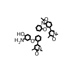 Cc1cc(-c2ccccc2Oc2ccc(O)c(N)c2)cn(C)c1=O.Cc1nc2c(Oc3ccccc3)c(-c3cc(C)c(=O)n(C)c3)ccc2o1